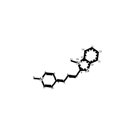 CN1C=CC(=C/C=C/c2sc3ccccc3[n+]2C)C=C1